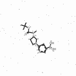 CN(C(=O)OC(C)(C)C)[C@H]1CCN(c2cncc(B(O)O)c2)C1